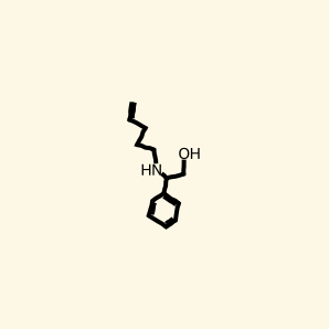 C=CCCCNC(CO)c1ccccc1